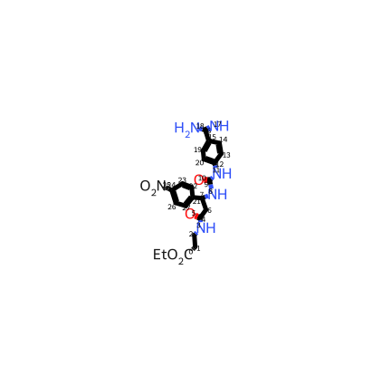 CCOC(=O)CCNC(=O)CC(NC(=O)Nc1ccc(C(=N)N)cc1)c1ccc([N+](=O)[O-])cc1